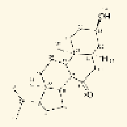 CC(C)[C@H]1CCC2C3C(=O)C[C@@H]4C[C@H](O)CC[C@]4(C)C3CC[C@@]21C